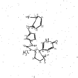 CC(C(=O)Nc1ccc(Oc2ncccc2F)cn1)N1CCC(F)(F)C(c2ccc(=O)[nH]c2)C1